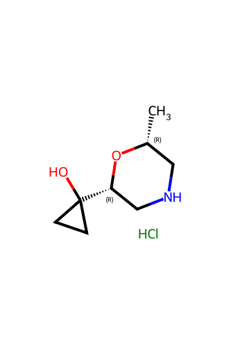 C[C@@H]1CNC[C@H](C2(O)CC2)O1.Cl